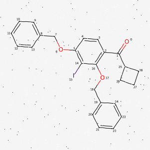 O=C(c1ccc(OCc2ccccc2)c(I)c1OCc1ccccc1)C1CCC1